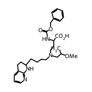 COC(C)CN(CCCCC1CCc2cccnc2N1)CCC(NC(=O)OCc1ccccc1)C(=O)O